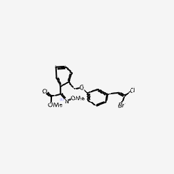 CO/N=C(/C(=O)OC)c1ccccc1COc1cccc(C=C(Cl)Br)c1